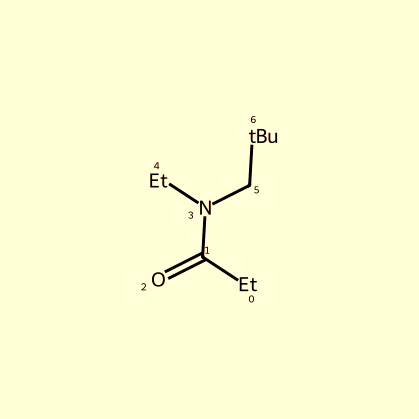 CCC(=O)N(CC)CC(C)(C)C